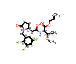 C=CCOC(=O)[C@@H](NC(=O)C[C@@H]1CCC(=O)N1Cc1cc(F)cc(F)c1F)[C@@H](C)OC